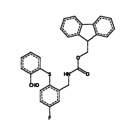 O=Cc1ccccc1Sc1ccc(F)cc1CNC(=O)OCC1c2ccccc2-c2ccccc21